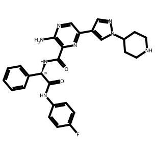 Nc1ncc(-c2cnn(C3CCNCC3)c2)nc1C(=O)N[C@@H](C(=O)Nc1ccc(F)cc1)c1ccccc1